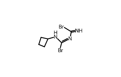 N=C(Br)/N=C(/Br)NC1CCC1